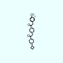 O=C(Cc1ccc(C(F)(F)F)cc1)N1CCN(CC(=O)N2CCN(C3CCC3)CC2)CC1